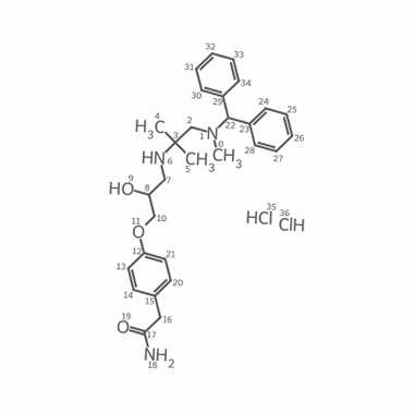 CN(CC(C)(C)NCC(O)COc1ccc(CC(N)=O)cc1)C(c1ccccc1)c1ccccc1.Cl.Cl